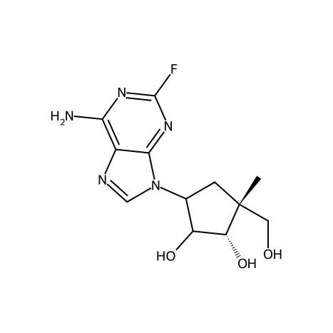 C[C@]1(CO)CC(n2cnc3c(N)nc(F)nc32)C(O)[C@H]1O